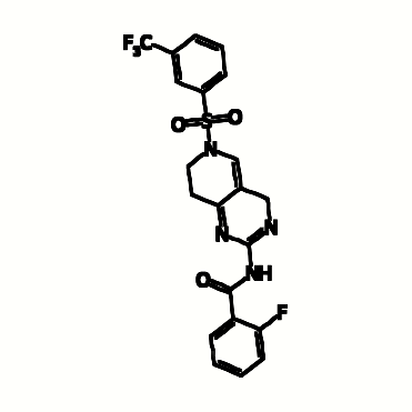 O=C(NC1=NCC2=CN(S(=O)(=O)c3cccc(C(F)(F)F)c3)CCC2=N1)c1ccccc1F